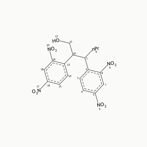 CCCC(c1ccc([N+](=O)[O-])cc1[N+](=O)[O-])C(CO)c1ccc([N+](=O)[O-])cc1[N+](=O)[O-]